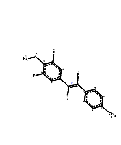 Cc1ccc(/C(F)=C(\F)c2cc(F)c(SC#N)c(F)c2)cc1